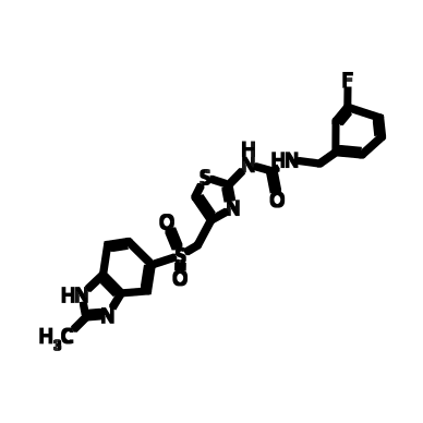 Cc1nc2cc(S(=O)(=O)Cc3csc(NC(=O)NCc4cccc(F)c4)n3)ccc2[nH]1